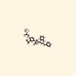 CCOC(=O)COc1ccc(-n2nc(CCN(Cc3ccccc3)Cc3ccccc3)oc2=O)nc1[N+](=O)[O-]